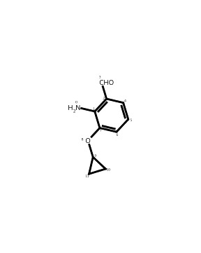 Nc1c(C=O)cccc1OC1CC1